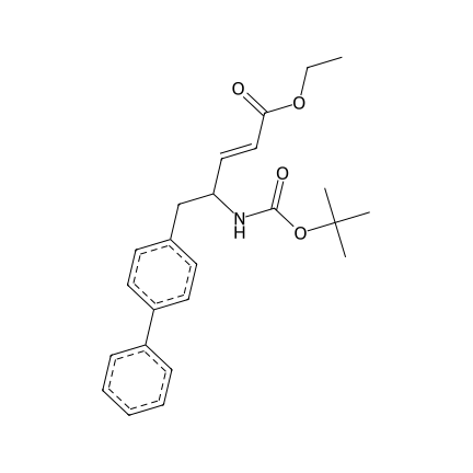 CCOC(=O)C=CC(Cc1ccc(-c2ccccc2)cc1)NC(=O)OC(C)(C)C